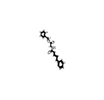 O=C(CCCCc1ccccc1)NCC(=O)OCc1ccccc1